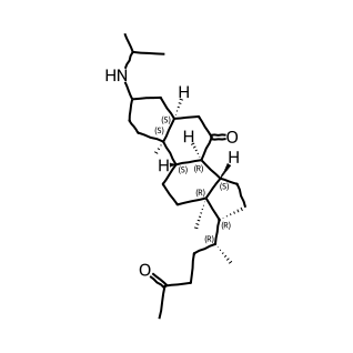 CC(=O)CC[C@@H](C)[C@H]1CC[C@H]2[C@@H]3C(=O)C[C@@H]4CC(NC(C)C)CC[C@]4(C)[C@H]3CC[C@]12C